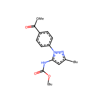 COC(=O)c1ccc(-n2nc(C(C)(C)C)cc2NC(=O)OC(C)(C)C)cc1